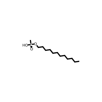 CCCCCCCCCCCCOP(C)(=O)O